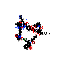 COc1cc2c(cc1OCCCCCC(=O)N1CC(CCl)c3c1cc(O)c1ccccc31)N(C(=O)OCc1ccc(NC(=O)[C@H](CCCCN)NC(=O)C3(C(=O)NCCCCCN4C(=O)C=CC4=O)CCC3)cc1)C(O)[C@@H]1CCCN1C2=O